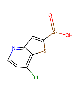 O=S(O)c1cc2nccc(Cl)c2s1